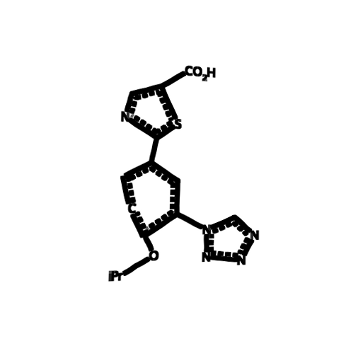 CC(C)Oc1ccc(-c2ncc(C(=O)O)s2)cc1-n1cnnn1